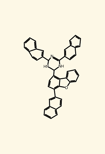 c1ccc2cc(C3=NC(c4ccc5ccccc5c4)NC(c4ccc(-c5ccc6ccccc6c5)c5oc6ccccc6c45)N3)ccc2c1